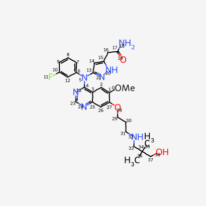 COc1cc2c(N(c3cccc(F)c3)c3cc(CC(N)=O)[nH]n3)ncnc2cc1OCCCNCC(C)(C)CO